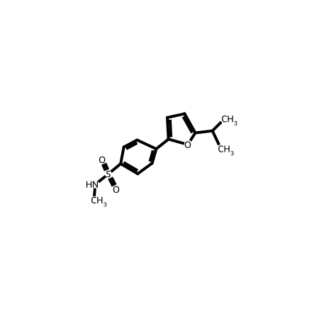 CNS(=O)(=O)c1ccc(-c2ccc(C(C)C)o2)cc1